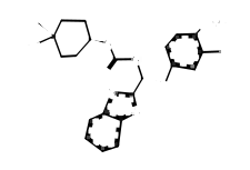 COc1ccc(C[C@@H](NC(=O)N[C@H]2CC[C@](C)(O)CC2)c2nc3ccccc3[nH]2)cc1F